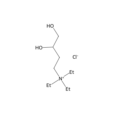 CC[N+](CC)(CC)CCC(O)CO.[Cl-]